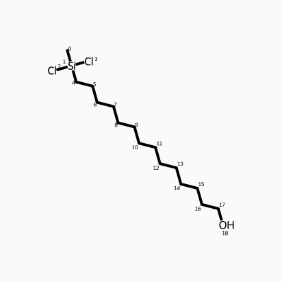 C[Si](Cl)(Cl)CCCCCCCCCCCCCCO